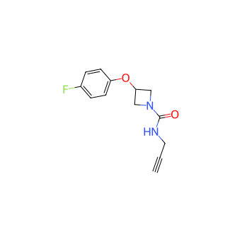 C#CCNC(=O)N1CC(Oc2ccc(F)cc2)C1